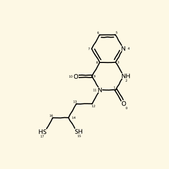 O=c1[nH]c2ncccc2c(=O)n1CCC(S)CS